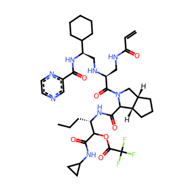 C=CC(=O)NC[C@H](NC[C@@H](NC(=O)c1cnccn1)C1CCCCC1)C(=O)N1C[C@@H]2CCC[C@@H]2C1C(=O)N[C@@H](CCC)C(OC(=O)C(F)(F)F)C(=O)NC1CC1